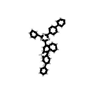 c1ccc(-c2ccc(-c3nc(-c4ccccc4)nc(-c4cc5sc6cc(-c7ccccc7)ccc6c5c5ccccc45)n3)cc2)cc1